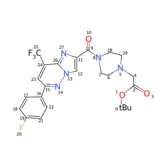 CC(C)(C)OC(=O)CN1CCN(C(=O)c2cn3nc(-c4ccc(F)cc4)cc(C(F)(F)F)c3n2)CC1